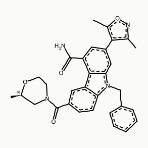 Cc1noc(C)c1-c1cc(C(N)=O)c2c3cc(C(=O)N4CCO[C@H](C)C4)ccc3n(Cc3ccccc3)c2c1